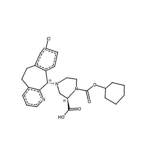 O=C(O)[C@H]1CN([C@H]2c3ccc(Cl)cc3CCc3cccnc32)CCN1C(=O)OC1CCCCC1